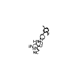 Cc1ccc(F)c(C2CCN(C(=O)NC(CC(C)C)C(=O)NCC#N)CC2)c1